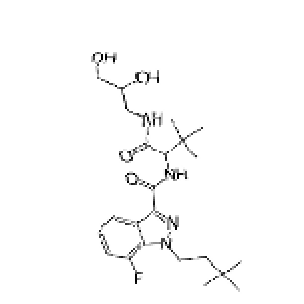 CC(C)(C)CCn1nc(C(=O)NC(C(=O)NCC(O)CO)C(C)(C)C)c2cccc(F)c21